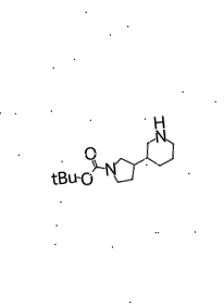 CC(C)(C)OC(=O)N1CCC(C2CCCNC2)C1